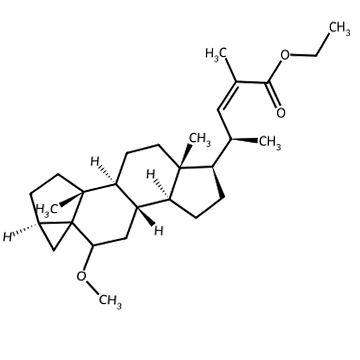 CCOC(=O)/C(C)=C\[C@@H](C)[C@H]1CC[C@H]2[C@@H]3CC(OC)C45C[C@H]4CC[C@]5(C)[C@H]3CC[C@]12C